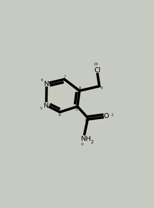 NC(=O)c1cnncc1CCl